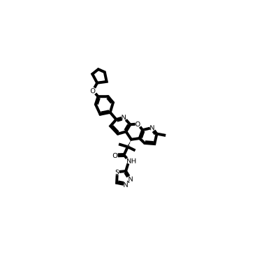 Cc1ccc2c(n1)Oc1nc(-c3ccc(OC4CCCC4)cc3)ccc1[C@H]2C(C)(C)C(=O)Nc1nncs1